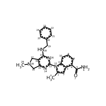 Cc1cc2c(C(N)=O)cccc2n1-c1nc2c(c(NCc3ccccc3)n1)CN(C)C2